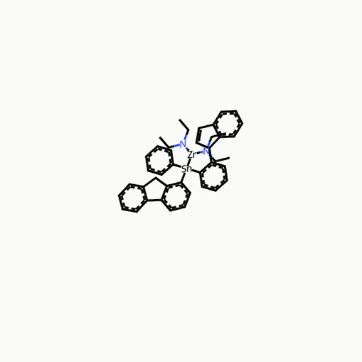 CC[N](CC)[Zr]([N](CC)CC)[Sn]([c]1ccccc1)([c]1ccccc1C1C=Cc2ccccc21)[c]1cccc2c1Cc1ccccc1-2